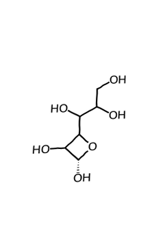 OCC(O)C(O)C1O[C@H](O)C1O